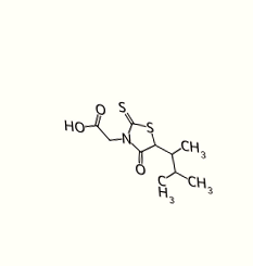 CC(C)C(C)C1SC(=S)N(CC(=O)O)C1=O